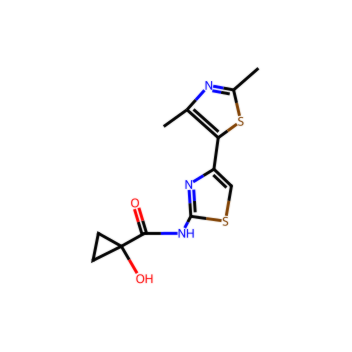 Cc1nc(C)c(-c2csc(NC(=O)C3(O)CC3)n2)s1